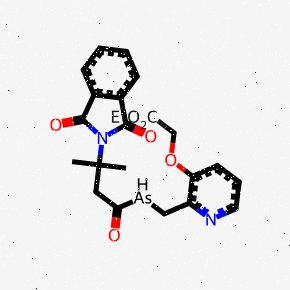 CCOC(=O)COc1cccnc1C[AsH]C(=O)CC(C)(C)N1C(=O)c2ccccc2C1=O